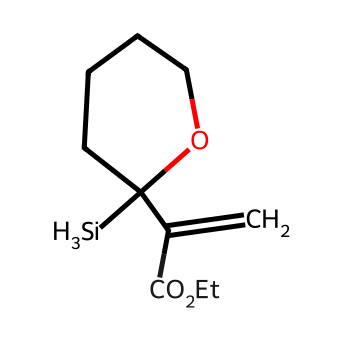 C=C(C(=O)OCC)C1([SiH3])CCCCO1